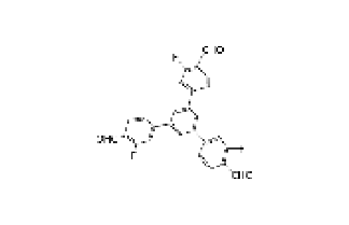 O=Cc1ccc(-c2cc(-c3ccc(C=O)c(F)c3)cc(-c3ccc(C=O)c(F)c3)c2)cc1F